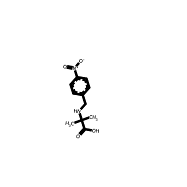 CC(C)(NCc1ccc([N+](=O)[O-])cc1)C(=O)O